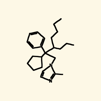 CCCCC(CCC)C(Cn1ccnc1C)(c1ccccc1)C1CCCC1